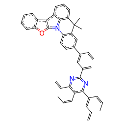 C=C/C=C(\C=C/C)c1nc(C(=C)/C=C(\C=C)c2ccc3c(c2)C(C)(C)c2cccc4c5c6ccccc6oc5n-3c24)nc(C=C)c1/C=C\C